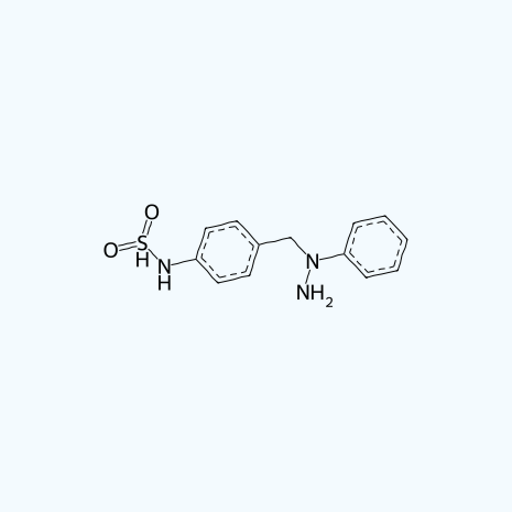 NN(Cc1ccc(N[SH](=O)=O)cc1)c1ccccc1